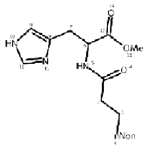 CCCCCCCCCCCC(=O)NC(Cc1c[nH]cn1)C(=O)OC